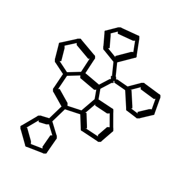 C1=CC2=C(P(c3ccccc3)c3ccccc3)c3ccccc3C(c3ccccc3)=CC2C=C1